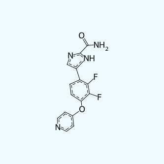 NC(=O)c1ncc(-c2ccc(Oc3ccncc3)c(F)c2F)[nH]1